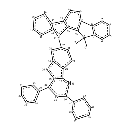 CC1(C)c2ccccc2-c2ccc3c4ccccc4n(-c4ccc5c(c4)sc4c(-c6ccccc6)nc(-c6ccccc6)nc45)c3c21